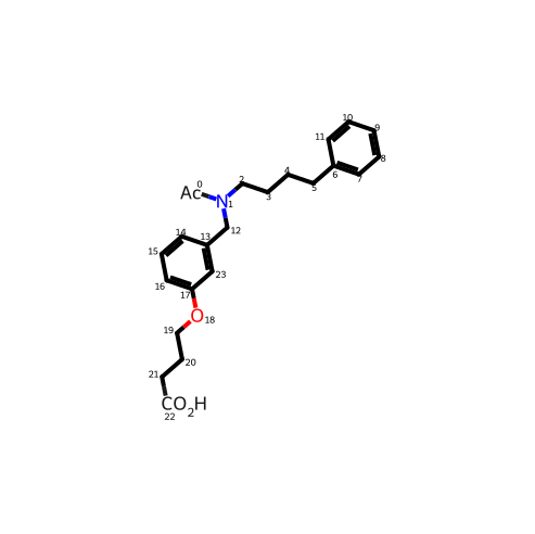 CC(=O)N(CCCCc1ccccc1)Cc1cccc(OCCCC(=O)O)c1